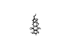 CCc1cc(Cn2c(=O)c3c(ncn3C)n(C)c2=O)no1